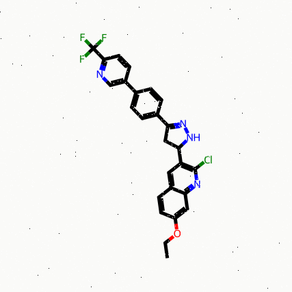 CCOc1ccc2cc(C3CC(c4ccc(-c5ccc(C(F)(F)F)nc5)cc4)=NN3)c(Cl)nc2c1